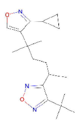 CC(CCC(C)(C)c1conc1C1CC1)c1nonc1C(C)(C)C